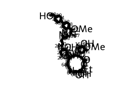 CC[C@H]1OC(=O)[C@H](C)[C@@H](C2C[C@@](C)(OC)[C@@H](O)[C@H](C)O2)[C@H](C)[C@@H](O[C@@H]2O[C@H](C)C[C@H](N(C)CCc3cn([C@H](CF)[C@H](OC)c4ccc(-c5ccc(CO)cc5)cc4)nn3)[C@H]2O)[C@](C)(O)C[C@@H](C)CN(C)[C@H](C)[C@@H](O)[C@]1(C)O